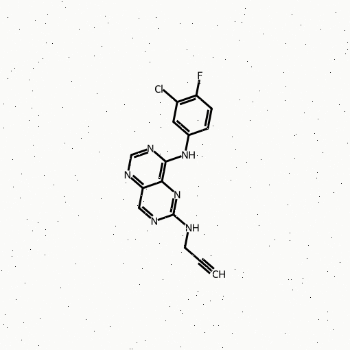 C#CCNc1ncc2ncnc(Nc3ccc(F)c(Cl)c3)c2n1